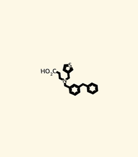 O=C(O)CCN(Cc1ccsc1)Cc1cccc(Cc2ccccc2)c1